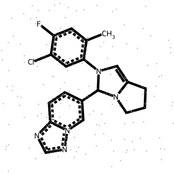 Cc1cc(F)c(Cl)cc1N1C=C2CCCN2C1c1ccc2ncnn2c1